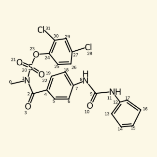 CN(C(=O)c1ccc(NC(=O)Nc2ccccc2)cc1)S(=O)(=O)Oc1ccc(Cl)cc1Cl